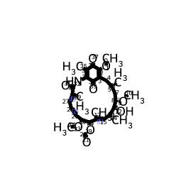 COC1=C2C[C@@H](C)C[C@H](OC)[C@H](O)[C@@H](C)/C=C(\C)[C@H](OC=O)[C@@H](OC)/C=C\C=C(/C)C(=O)NC(=C(C)C1=O)C2=O